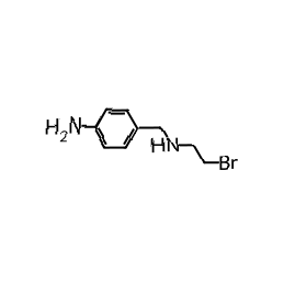 Nc1ccc(CNCCBr)cc1